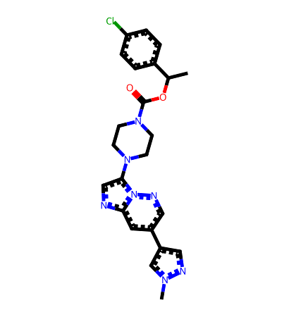 CC(OC(=O)N1CCN(c2cnc3cc(-c4cnn(C)c4)cnn23)CC1)c1ccc(Cl)cc1